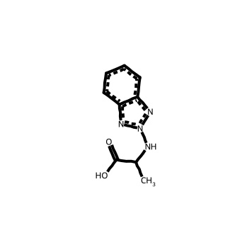 CC(Nn1nc2ccccc2n1)C(=O)O